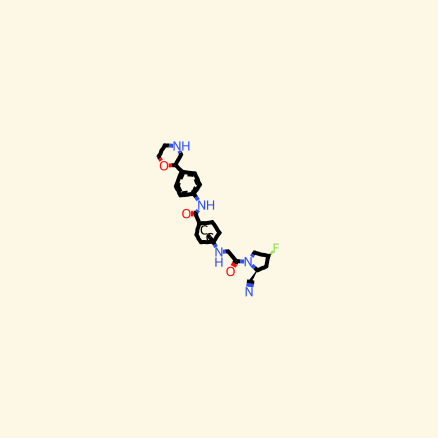 N#C[C@@H]1C[C@H](F)CN1C(=O)CNC12CCC(C(=O)Nc3ccc(C4CNCCO4)cc3)(CC1)CC2